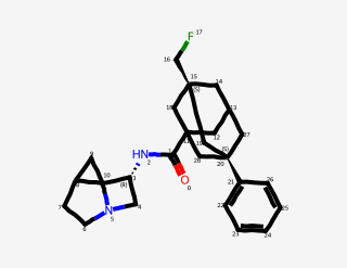 O=C(N[C@@H]1CN2CCC3CC312)C12CC3C[C@@](CF)(C1)C[C@](c1ccccc1)(C3)C2